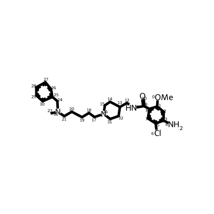 COc1cc(N)c(Cl)cc1C(=O)NCC1CCN(CCCCCN(C)Cc2ccccc2)CC1